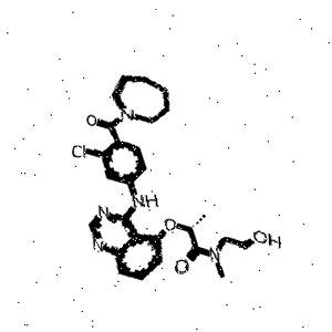 C[C@@H](Oc1cccc2ncnc(Nc3ccc(C(=O)N4CCCCCC4)c(Cl)c3)c12)C(=O)N(C)CCO